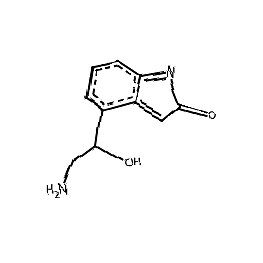 NCC(O)c1cccc2c1=CC(=O)N=2